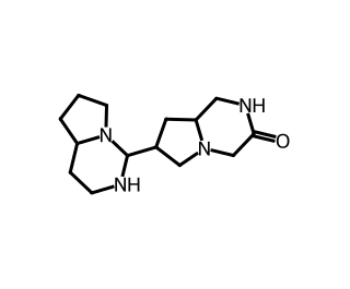 O=C1CN2CC(C3NCCC4CCCN43)CC2CN1